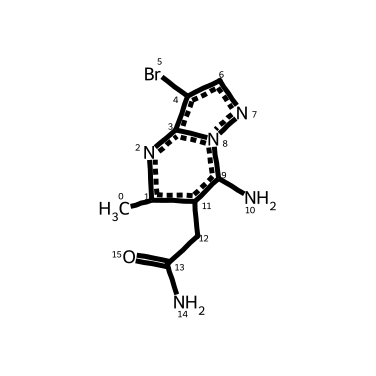 Cc1nc2c(Br)cnn2c(N)c1CC(N)=O